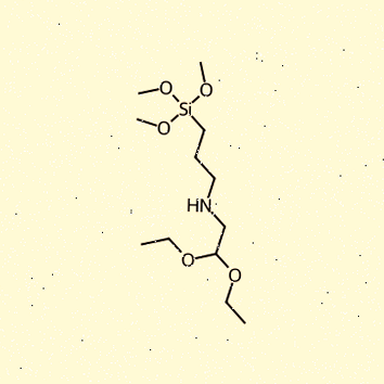 CCOC(CNCCC[Si](OC)(OC)OC)OCC